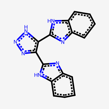 c1ccc2[nH]c(-c3nn[nH]c3-c3nc4ccccc4[nH]3)nc2c1